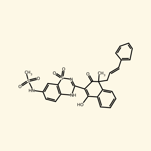 CC1(CC=Cc2ccccc2)C(=O)C(C2=NS(=O)(=O)c3cc(NS(C)(=O)=O)ccc3N2)=C(O)c2ccccc21